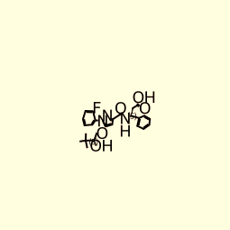 CC(C)(C)[C@H](O)COc1cc(C(=O)N[C@@H](CC(=O)O)c2ccccc2)nn1-c1ccccc1F